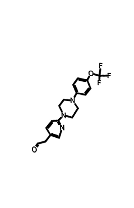 O=CCc1ccc(N2CCN(c3ccc(OC(F)(F)F)cc3)CC2)nc1